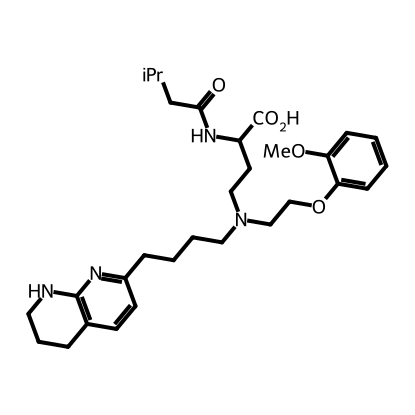 COc1ccccc1OCCN(CCCCc1ccc2c(n1)NCCC2)CCC(NC(=O)CC(C)C)C(=O)O